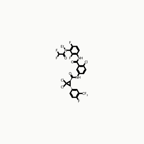 CCN(C(=O)C(F)F)c1c(F)ccc(NC(=O)c2cc(NC(=O)[C@H]3[C@H](c4ccc(F)c(C(F)(F)F)c4)C3(Cl)Cl)ccc2Cl)c1F